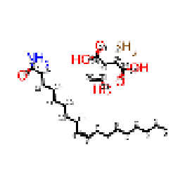 CCCCCCCC/C=C\CCCCCCCC(N)=O.CCO.O=C(O)CCC(=O)O.S